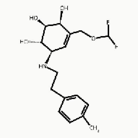 Cc1ccc(CCN[C@@H]2C=C(COC(F)F)[C@H](O)[C@H](O)[C@H]2O)cc1